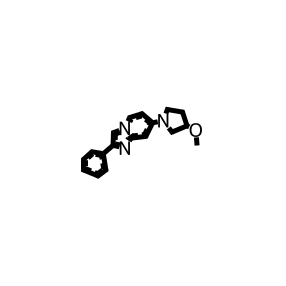 COC1CCN(c2ccn3cc(-c4ccccc4)nc3c2)C1